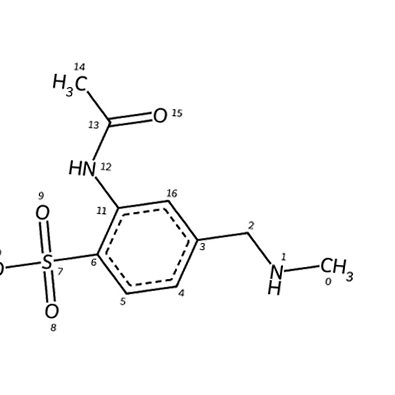 CNCc1ccc(S(=O)(=O)O)c(NC(C)=O)c1